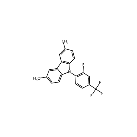 Cc1ccc2c(c1)c1cc(C)ccc1n2-c1ccc(C(F)(F)F)cc1F